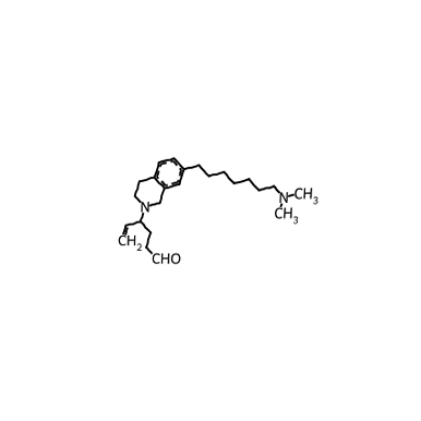 C=CC(CCC=O)N1CCc2ccc(CCCCCCCN(C)C)cc2C1